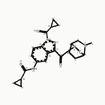 CN1CC2CCC1CN2C(=O)c1nn(C(=O)C2CC2)c2ccc(NC(=O)C3CC3)cc12